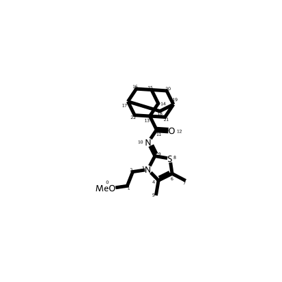 COCCn1c(C)c(C)sc1=NC(=O)C12CC3CC(CC(C3)C1)C2